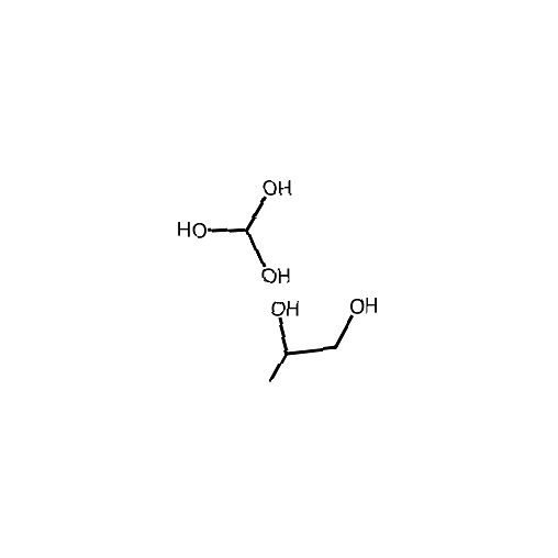 CC(O)CO.OC(O)O